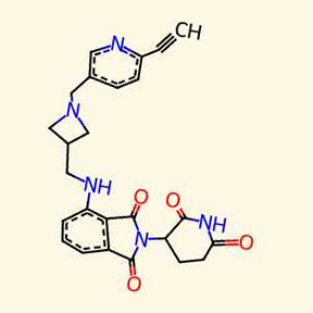 C#Cc1ccc(CN2CC(CNc3cccc4c3C(=O)N(C3CCC(=O)NC3=O)C4=O)C2)cn1